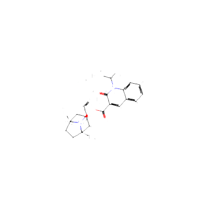 C=CCN1[C@@H]2CC[C@H]1C[C@@H](OC(=O)c1cc3ccccc3n(C(C)C)c1=O)C2.Cl